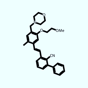 COCCOc1cc(/C=C/c2cccc(-c3ccccc3)c2C#N)c(C)cc1CN1CCOCC1